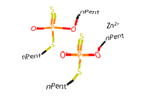 CCCCCOP([O-])(=S)SCCCCC.CCCCCOP([O-])(=S)SCCCCC.[Zn+2]